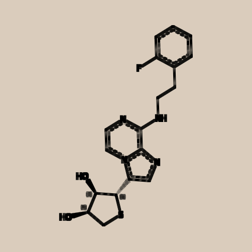 O[C@@H]1[C@H](O)CS[C@H]1c1cnc2c(NCCc3ccccc3F)nccn12